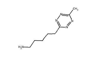 Cc1nnc(CCCCCN)nn1